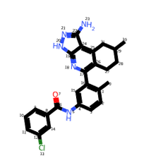 Cc1ccc(NC(=O)c2cccc(Cl)c2)cc1-c1nc2[nH]nc(N)c2c2c1CCC(C)C2